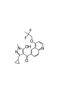 Cn1nc(C2CC2)c(C(=O)c2ccc3nccc(OCC(C)(F)F)c3c2)c1O